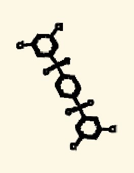 O=S(=O)(c1ccc(S(=O)(=O)c2cc(Cl)cc(Cl)c2)cc1)c1cc(Cl)cc(Cl)c1